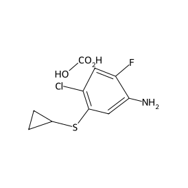 Nc1cc(SC2CC2)c(Cl)cc1F.O=C(O)O